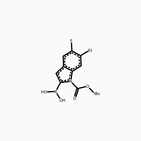 CCc1cc2c(cc1F)cc(B(O)O)n2C(=O)OC(C)(C)C